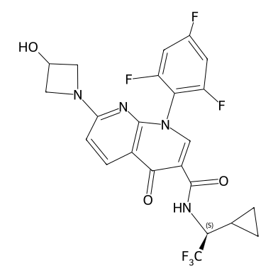 O=C(N[C@@H](C1CC1)C(F)(F)F)c1cn(-c2c(F)cc(F)cc2F)c2nc(N3CC(O)C3)ccc2c1=O